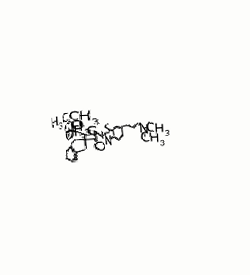 CN(C)CCCc1ccc2nc(N(C)C(=O)C3(CC(=O)OC(C)(C)C)Cc4ccccc4C3)sc2c1